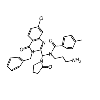 Cc1ccc(C(=O)N(CCCN)C(c2nc3cc(Cl)ccc3c(=O)n2Cc2ccccc2)N2CCCC2=O)cc1